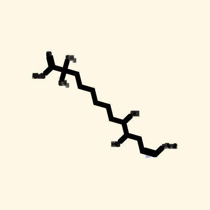 CCCCC/C=C\CC(O)C(O)CCCCCCC(C)(C)C(=O)OC